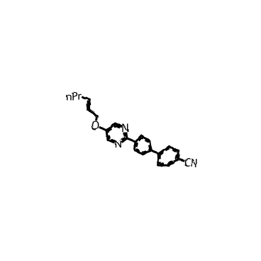 CCCC=CCOc1cnc(-c2ccc(-c3ccc(C#N)cc3)cc2)nc1